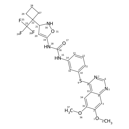 COc1cc2ncnc(Sc3cccc(NC(=O)NC4=CC(C5(C(F)(F)F)CCC5)NO4)c3)c2cc1OC